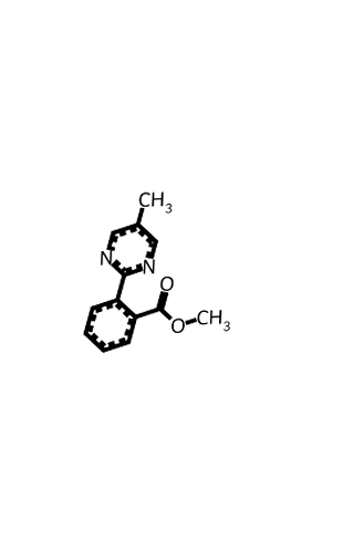 COC(=O)c1ccccc1-c1ncc(C)cn1